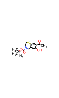 CC(=O)c1cc2c(cc1O)CN(C(=O)OC(C)(C)C)CCS2